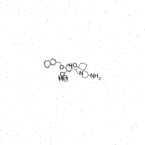 Cl.Cl.NC1CCN(CC(c2ccc(OCc3ccc4ccccc4c3)c(Cl)c2)C2(O)CCCCC2)CC1